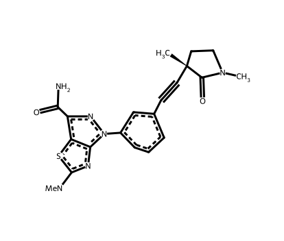 CNc1nc2c(s1)c(C(N)=O)nn2-c1cccc(C#C[C@]2(C)CCN(C)C2=O)c1